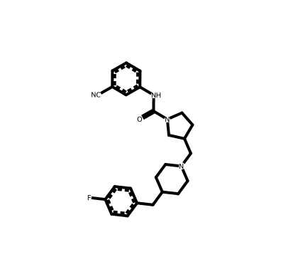 N#Cc1cccc(NC(=O)N2CCC(CN3CCC(Cc4ccc(F)cc4)CC3)C2)c1